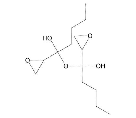 CCCCC(O)(OC(O)(CCCC)C1CO1)C1CO1